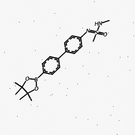 CNS(C)(=O)=Nc1ccc(-c2ccc(B3OC(C)(C)C(C)(C)O3)cc2)cc1